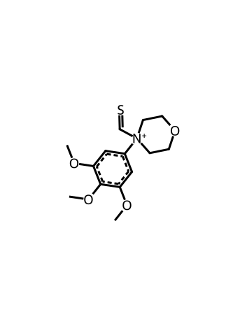 COc1cc([N+]2(C=S)CCOCC2)cc(OC)c1OC